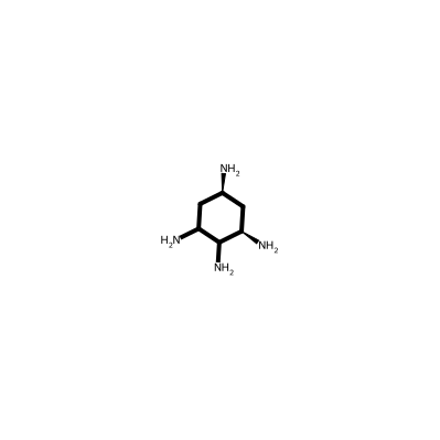 NC1C[C@@H](N)C[C@@H](N)C1N